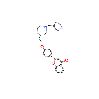 O=c1cc(-c2ccc(OCCC3CCCN(Cc4ccncc4)CC3)cc2)oc2ccccc12